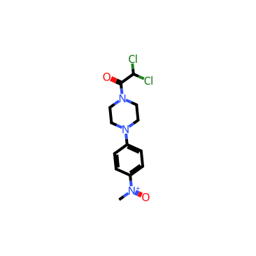 C[N+](=O)c1ccc(N2CCN(C(=O)C(Cl)Cl)CC2)cc1